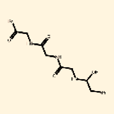 CC(C)CC(O)NCC(=O)NCC(=O)NCC(=O)C(C)C